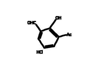 CC(=O)c1cccc(C=O)c1O.Cl